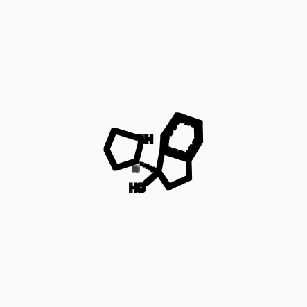 OC1([C@@H]2CCCN2)CCc2ccccc21